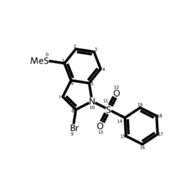 CSc1cccc2c1cc(Br)n2S(=O)(=O)c1ccccc1